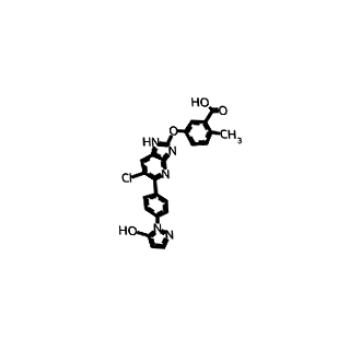 Cc1ccc(Oc2nc3nc(-c4ccc(-n5nccc5O)cc4)c(Cl)cc3[nH]2)cc1C(=O)O